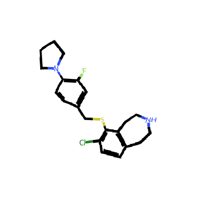 Fc1cc(CSc2c(Cl)ccc3c2CCNCC3)ccc1N1CCCC1